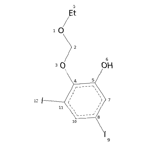 CCOCOc1c(O)cc(I)cc1I